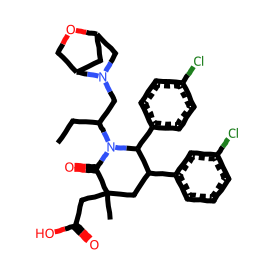 CCC(CN1CC2CC1CO2)N1C(=O)C(C)(CC(=O)O)CC(c2cccc(Cl)c2)C1c1ccc(Cl)cc1